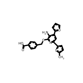 Cc1ccc(-c2cc(-c3ccco3)c(N)c(OCc3ccc(C(=O)O)cc3)n2)s1